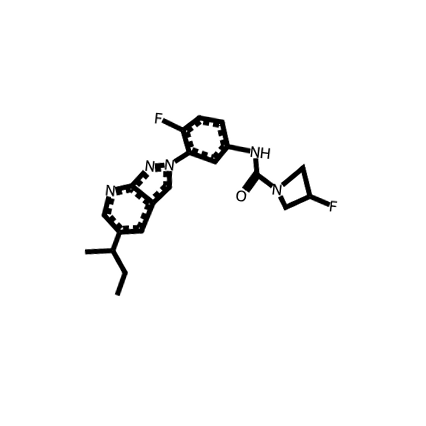 CCC(C)c1cnc2nn(-c3cc(NC(=O)N4CC(F)C4)ccc3F)cc2c1